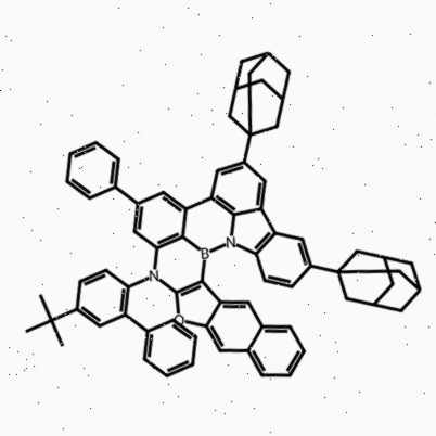 CC(C)(C)c1ccc(N2c3cc(-c4ccccc4)cc4c3B(c3c2oc2cc5ccccc5cc32)n2c3ccc(C56CC7CC(CC(C7)C5)C6)cc3c3cc(C56CC7CC(CC(C7)C5)C6)cc-4c32)c(-c2ccccc2)c1